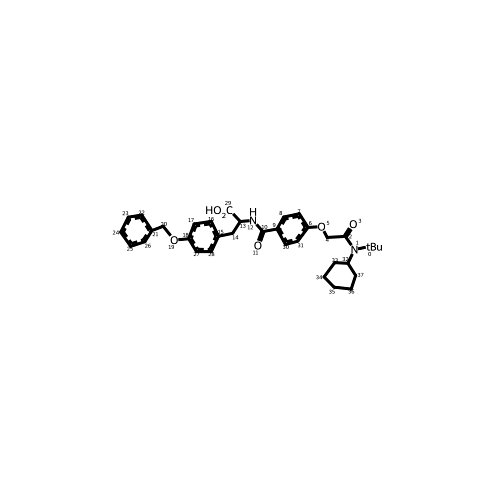 CC(C)(C)N(C(=O)COc1ccc(C(=O)NC(Cc2ccc(OCc3ccccc3)cc2)C(=O)O)cc1)C1CCCCC1